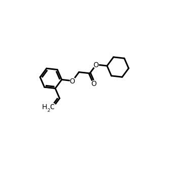 C=Cc1ccccc1OCC(=O)OC1CCCCC1